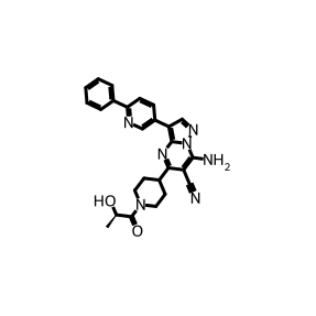 C[C@@H](O)C(=O)N1CCC(c2nc3c(-c4ccc(-c5ccccc5)nc4)cnn3c(N)c2C#N)CC1